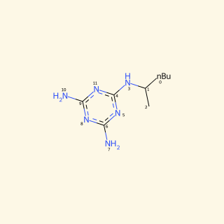 CCCCC(C)Nc1nc(N)nc(N)n1